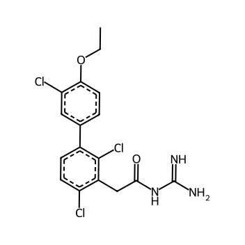 CCOc1ccc(-c2ccc(Cl)c(CC(=O)NC(=N)N)c2Cl)cc1Cl